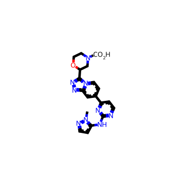 Cn1nccc1Nc1nccc(-c2ccn3c(C4CN(C(=O)O)CCO4)nnc3c2)n1